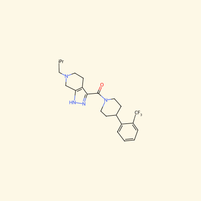 CC(C)CN1CCc2c(C(=O)N3CCC(c4ccccc4C(F)(F)F)CC3)n[nH]c2C1